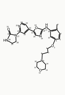 Cc1ccc(OCCCN2CCOCC2)cc1Nc1ncc(-c2ccnc(N3CCNC3=O)c2)o1